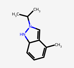 CC1=CC=CC2NN(C(C)C)C=C12